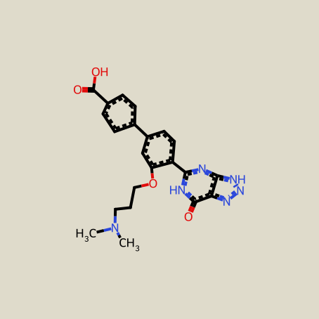 CN(C)CCCOc1cc(-c2ccc(C(=O)O)cc2)ccc1-c1nc2[nH]nnc2c(=O)[nH]1